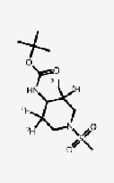 [2H]C1([2H])CN(S(C)(=O)=O)CC([2H])([2H])C1NC(=O)OC(C)(C)C